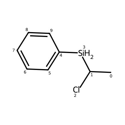 CC(Cl)[SiH2]c1ccccc1